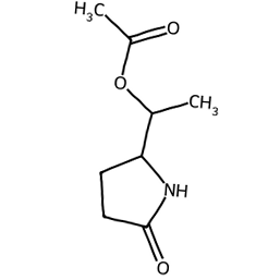 CC(=O)OC(C)C1CCC(=O)N1